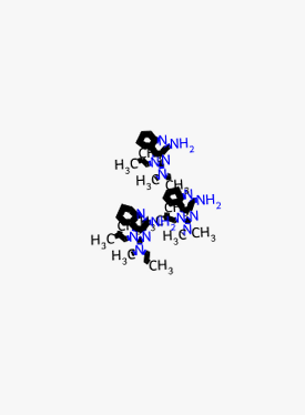 CC(C)Cn1c(N(C)C)nc2c(N)nc3ccccc3c21.CCCN(C)c1nc2c(N)nc3ccccc3c2n1CC(C)C.CCN(C)c1nc2c(N)nc3ccccc3c2n1CC(C)C